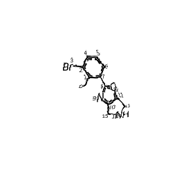 Cc1c(Br)cccc1-c1nc2c(o1)CNC2